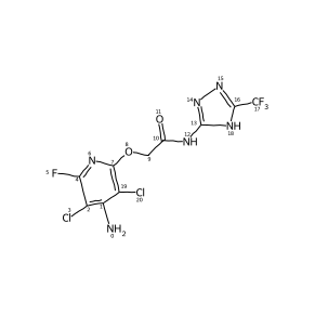 Nc1c(Cl)c(F)nc(OCC(=O)Nc2nnc(C(F)(F)F)[nH]2)c1Cl